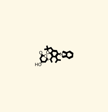 CC(C)c1c(-n2cc3ccccc3c2)cc2c(c1C(C)[C@@H]1C[C@@H](O)CC(=O)O1)OC(C)(C)C2